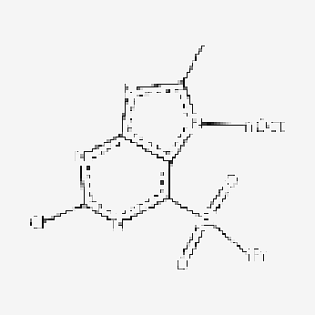 CCCCCC[CH]Cn1c(C)nc2nc(Cl)nc(S(=O)(=O)C(C)C)c21